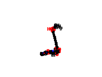 CCc1c2c(nc3ccc(OC(=O)N4CCC(N5CCCCC5)CC4)cc13)-c1cc3c(c(=O)n1C2)COC(=O)[C@@]3(CC)OC(=O)CCCCCCCCCCCCCCCCCOP(=O)(O)OCC[N+](C)(C)C